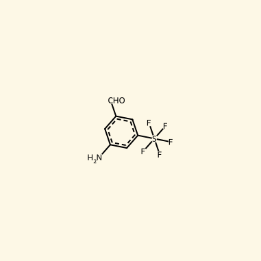 Nc1cc(C=O)cc(S(F)(F)(F)(F)F)c1